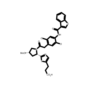 CO[C@H]1C[C@@H](c2ncc(CCC(=O)O)s2)N(C(=O)Cc2cc(Cl)c(NC(=O)c3csc4ccccc34)cc2Cl)C1